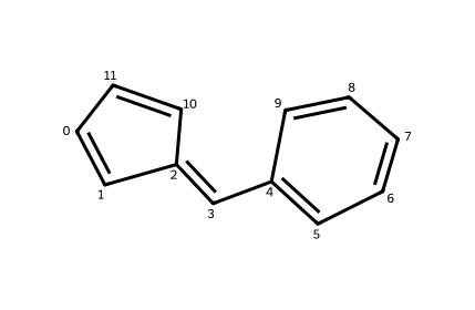 C1=CC(=Cc2ccccc2)C=C1